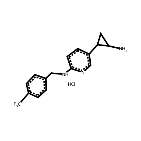 Cl.NC1CC1c1ccc(NCc2ccc(C(F)(F)F)cc2)nc1